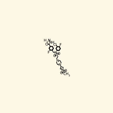 CS(=O)(=O)N1CC(N2CCN(CCS(=O)(=O)N(Cc3ccc(C(=O)NN)cc3F)c3ccc(F)c(Cl)c3)CC2)C1